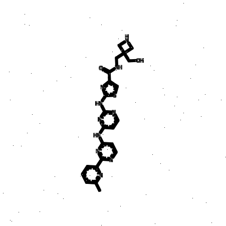 Cc1cccc(-c2nccc(Nc3ccnc(Nc4nc(C(=O)NCC5(CO)CNC5)cs4)n3)n2)n1